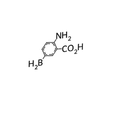 Bc1ccc(N)c(C(=O)O)c1